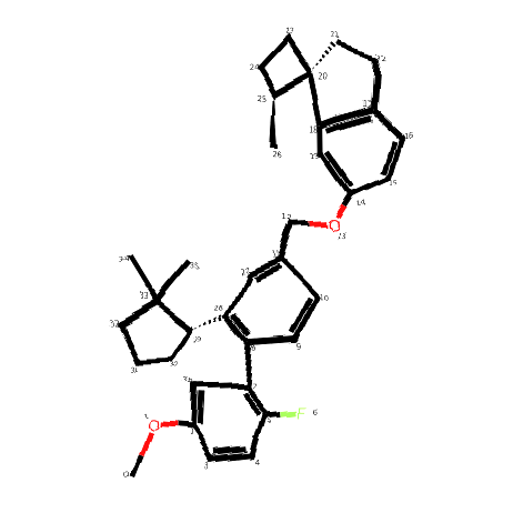 COc1ccc(F)c(-c2ccc(COc3ccc4c(c3)[C@]3(CC4)CC[C@@H]3C)cc2[C@@H]2CCCC2(C)C)c1